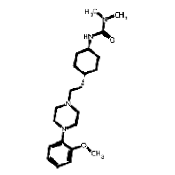 COc1ccccc1N1CCN(CC[C@H]2CC[C@H](NC(=O)N(C)C)CC2)CC1